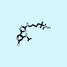 CC(C)Nc1cc(Cl)ncc1-c1nnc(NCCCCC(C)(C)[Si](C)(C)O)o1